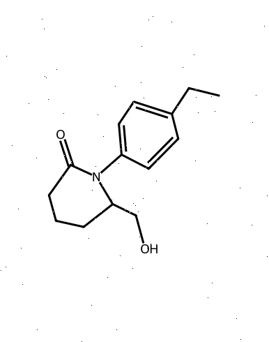 CCc1ccc(N2C(=O)CCCC2CO)cc1